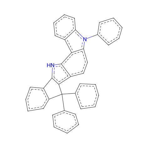 c1ccc(-n2c3ccccc3c3c4[nH]c5c(c4ccc32)C(c2ccccc2)(c2ccccc2)c2ccccc2-5)cc1